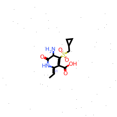 C/C=C1\NC(=O)C(N)C(S(=O)(=O)CC2CC2)=C1C(=O)O